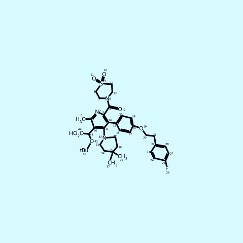 Cc1nc(C(=O)N2CCS(=O)(=O)CC2)c(-c2ccc(OCCc3ccc(F)cc3)cc2)c(N2CCC(C)(C)CC2)c1C(OC(C)(C)C)C(=O)O